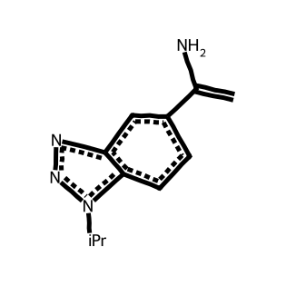 C=C(N)c1ccc2c(c1)nnn2C(C)C